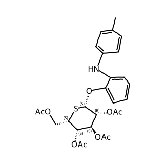 CC(=O)OC[C@@H]1S[C@H](Oc2ccccc2Nc2ccc(C)cc2)[C@H](OC(C)=O)[C@@H](OC(C)=O)[C@@H]1OC(C)=O